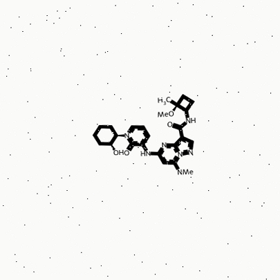 CNc1cc(Nc2cccn([C@@H]3CCCC[C@@H]3O)c2=O)nc2c(C(=O)NC3CC[C@]3(C)OC)cnn12